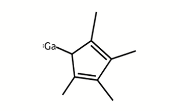 CC1=C(C)[CH]([Ga])C(C)=C1C